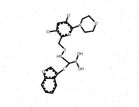 OB(O)C(Cc1coc2ccccc12)NSCc1nc(N2CCOCC2)c(Cl)cc1Cl